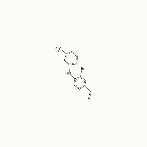 C=Cc1ccc(Nc2cccc(C(F)(F)F)c2)c(Br)c1